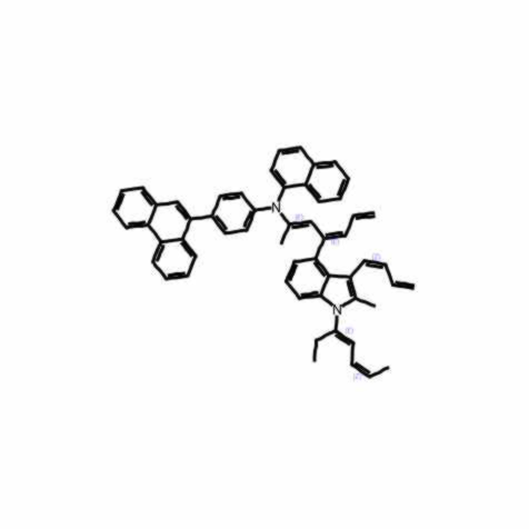 C=C/C=C\c1c(C)n(/C(=C/C=C\C)CC)c2cccc(C(=C/C=C)/C=C(\C)N(c3ccc(-c4cc5ccccc5c5ccccc45)cc3)c3cccc4ccccc34)c12